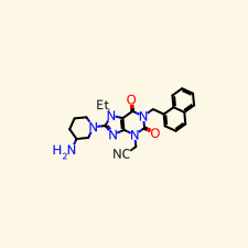 CCn1c(N2CCCC(N)C2)nc2c1c(=O)n(Cc1cccc3ccccc13)c(=O)n2CC#N